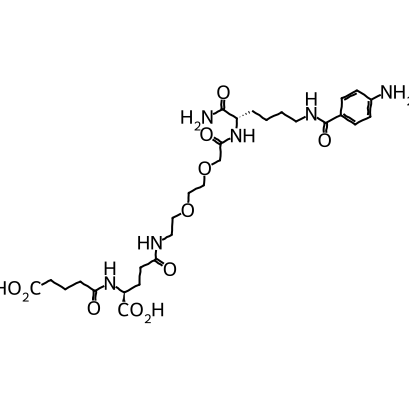 NC(=O)[C@H](CCCCNC(=O)c1ccc(N)cc1)NC(=O)COCCOCCNC(=O)CC[C@H](NC(=O)CCCC(=O)O)C(=O)O